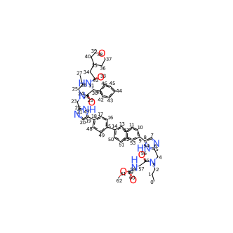 CCCN(Cc1ncc(-c2ccc3cc(-c4ccc(-c5cnc(CN(CCC)C(=O)[C@H](NC(=O)CC6CCOCC6)c6ccccc6)[nH]5)cc4)ccc3c2)[nH]1)C(=O)CNC(=O)OC